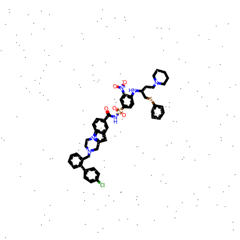 O=C(NS(=O)(=O)c1ccc(NC(CCN2CCCCC2)CSc2ccccc2)c([N+](=O)[O-])c1)c1ccc2c(c1)cc1n2CCN(Cc2ccccc2-c2ccc(Cl)cc2)C1